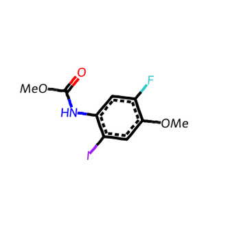 COC(=O)Nc1cc(F)c(OC)cc1I